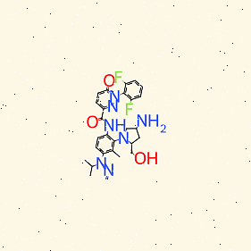 C=NN(c1ccc(NC(=O)c2ccc(=O)n(-c3c(F)cccc3F)n2)c(N2C[C@@H](N)C[C@H]2CO)c1C)C(C)C